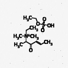 CC=CC(=O)C(C)[N+](C)(C)CC.CCOS(=O)(=O)O